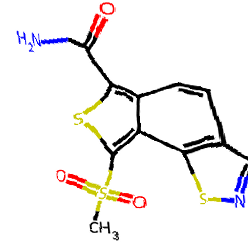 CS(=O)(=O)c1sc(C(N)=O)c2ccc3cnsc3c12